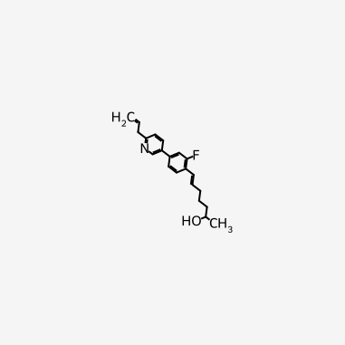 C=CCc1ccc(-c2ccc(/C=C/CCCC(C)O)c(F)c2)cn1